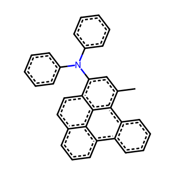 Cc1cc(N(c2ccccc2)c2ccccc2)c2ccc3cccc4c5ccccc5c1c2c34